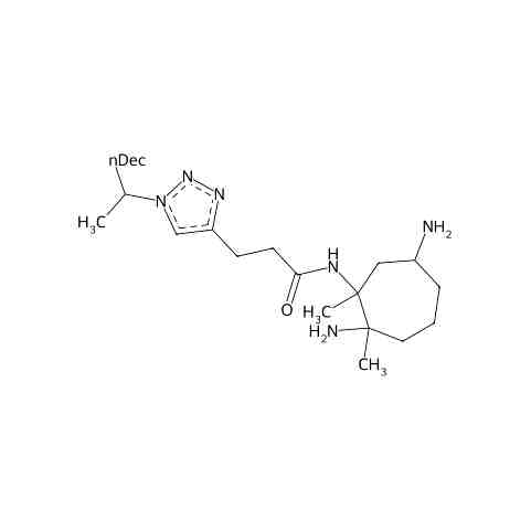 CCCCCCCCCCC(C)n1cc(CCC(=O)NC2(C)CC(N)CCCC2(C)N)nn1